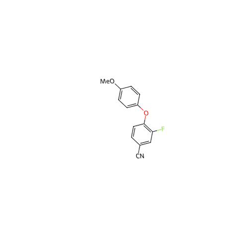 COc1ccc(Oc2ccc(C#N)cc2F)cc1